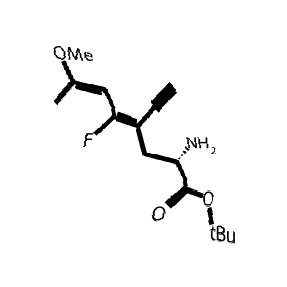 C#C/C(C[C@H](N)C(=O)OC(C)(C)C)=C(F)\C=C(/C)OC